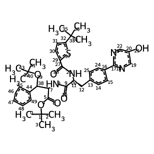 CC(C)(C)OC(=O)C(NC(=O)[C@H](Cc1ccc(-c2ncc(O)cn2)cc1)NC(=O)c1ccc(C(C)(C)C)s1)C(OC(C)(C)C)c1ccccc1